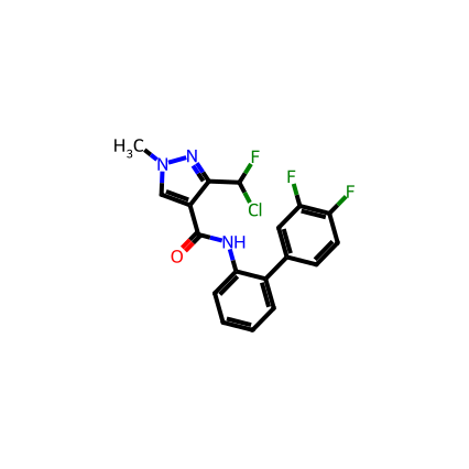 Cn1cc(C(=O)Nc2ccccc2-c2ccc(F)c(F)c2)c(C(F)Cl)n1